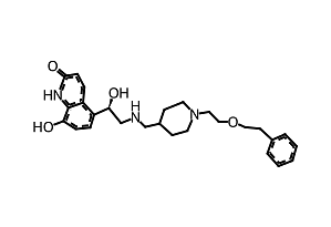 O=c1ccc2c([C@@H](O)CNCC3CCN(CCOCCc4ccccc4)CC3)ccc(O)c2[nH]1